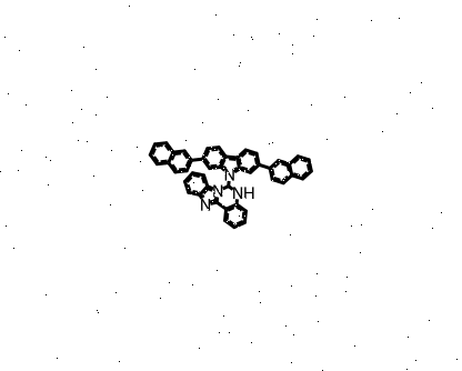 c1ccc2c(c1)NC(n1c3cc(-c4ccc5ccccc5c4)ccc3c3ccc(-c4ccc5ccccc5c4)cc31)n1c-2nc2ccccc21